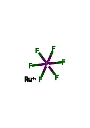 F[P-](F)(F)(F)(F)F.[Ru+]